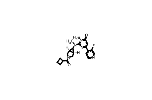 CN(c1nc(-c2ccncc2F)cc(=O)n1C)C1[C@H]2CN(C(=O)C3CCC3)C[C@@H]12